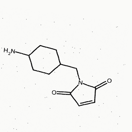 NC1CCC(CN2C(=O)C=CC2=O)CC1